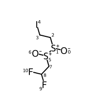 [O-][S+](CCI)[S+]([O-])CC(F)F